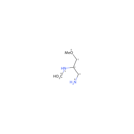 COCC(CN)NC(=O)O